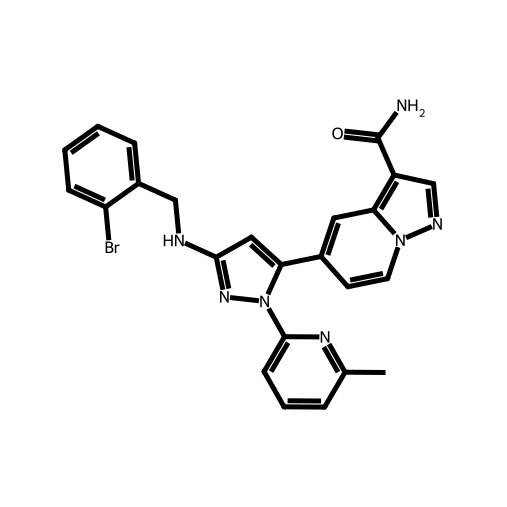 Cc1cccc(-n2nc(NCc3ccccc3Br)cc2-c2ccn3ncc(C(N)=O)c3c2)n1